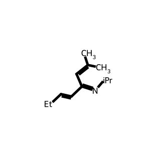 CC/C=C/C(C=C(C)C)=N/C(C)C